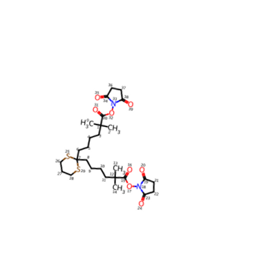 CC(C)(CCCCC1(CCCCC(C)(C)C(=O)ON2C(=O)CCC2=O)SCCCS1)C(=O)ON1C(=O)CCC1=O